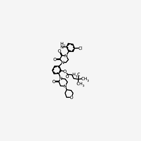 CC(C)(C)CCC(=O)Oc1c(N2CCN(C3CCOCC3)CC2=O)cccc1N1CCN(c2cc(Cl)ccc2N)C(=O)C1=O